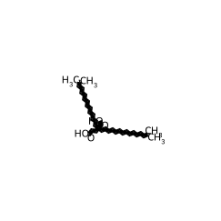 CC(C)CCCCCCCCCCCCCC(CCCCCCCCCCCCCC(C)C)(CCC(=O)O)C(=O)O